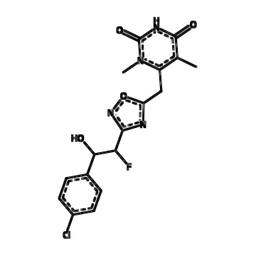 Cc1c(Cc2nc(C(F)C(O)c3ccc(Cl)cc3)no2)n(C)c(=O)[nH]c1=O